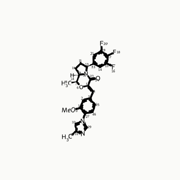 COc1cc(/C=C2\O[C@@H](C)[C@H]3CC[C@@H](c4cc(F)c(F)c(F)c4)N3C2=O)ccc1-n1cnc(C)c1